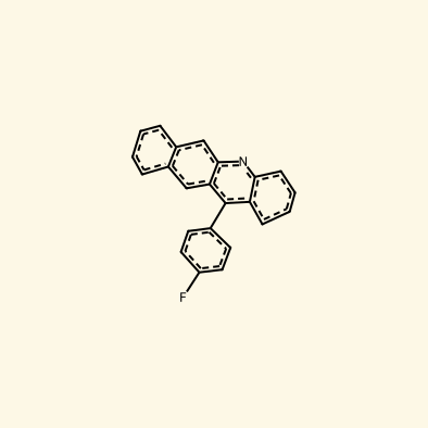 Fc1ccc(-c2c3ccccc3nc3cc4ccccc4cc23)cc1